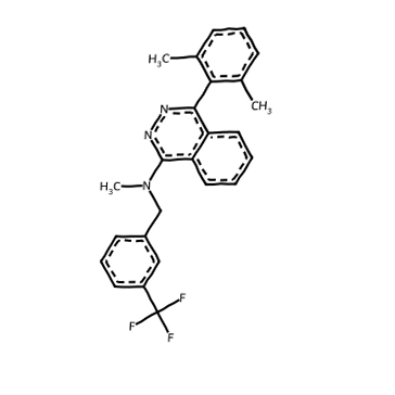 Cc1cccc(C)c1-c1nnc(N(C)Cc2cccc(C(F)(F)F)c2)c2ccccc12